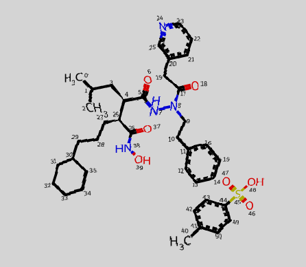 CC(C)C[C@@H](C(=O)NN(CCc1ccccc1)C(=O)Cc1cccnc1)[C@H](CCCC1CCCCC1)C(=O)NO.Cc1ccc(S(=O)(=O)O)cc1